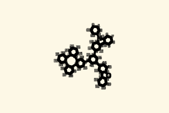 c1ccc(-n2c3ccccc3c3cc(-c4cc(-c5ccc6c(c5)-c5ccccc5-c5ccccc5-c5ccccc5-6)cc(-c5ccc6oc7ccccc7c6c5)c4)ccc32)cc1